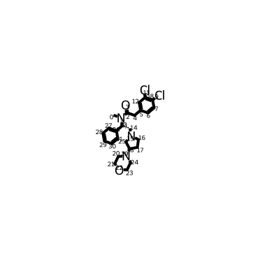 CN(C(=O)Cc1ccc(Cl)c(Cl)c1)[C@H](CN1CCC(N2CCOCC2)C1)c1ccccc1